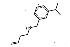 C=CCCNCc1cccc(C(C)C)c1